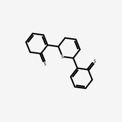 S=C1CC=CC=C1C1C=CCC(C2=CC=CCC2=S)S1